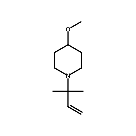 C=CC(C)(C)N1CCC(OC)CC1